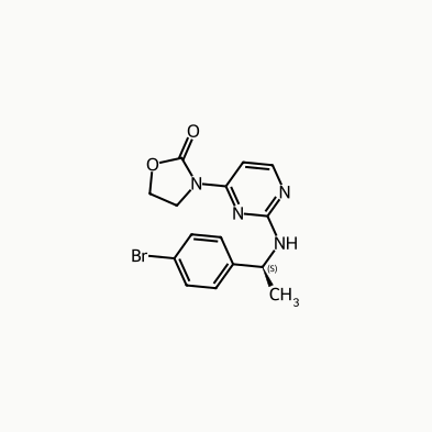 C[C@H](Nc1nccc(N2CCOC2=O)n1)c1ccc(Br)cc1